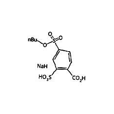 CCCCOS(=O)(=O)c1ccc(C(=O)O)c(S(=O)(=O)O)c1.[NaH]